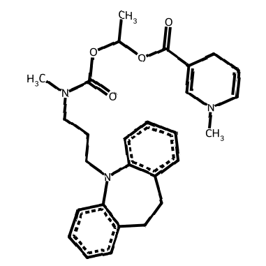 CC(OC(=O)C1=CN(C)C=CC1)OC(=O)N(C)CCCN1c2ccccc2CCc2ccccc21